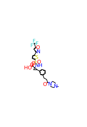 CN1CCN(C(=O)CCc2cccc(C3CC3(NS(=O)(=O)c3ccc(-c4cc(C(F)(F)F)on4)s3)C(=O)O)c2)CC1